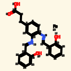 O=C(O)CCc1ccc(N=Cc2ccccc2O)c(N=Cc2ccccc2O)c1.[Fe]